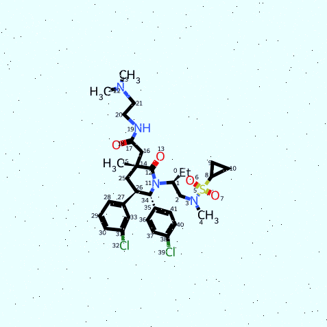 CC[C@@H](CN(C)S(=O)(=O)C1CC1)N1C(=O)[C@@](C)(CC(=O)NCCN(C)C)C[C@H](c2cccc(Cl)c2)[C@H]1c1ccc(Cl)cc1